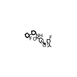 CC(C)N1C[C@@H](F)C[C@H]1C(=O)N1CCC(C(=O)Nc2cccc(-c3ccccc3F)c2)CC1